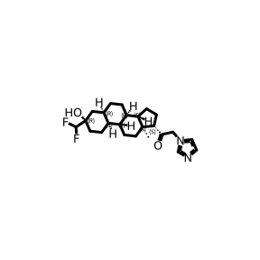 C[C@]12CC[C@H]3[C@@H](CC[C@@H]4C[C@@](O)(C(F)F)CC[C@@H]43)[C@@H]1CC[C@@H]2C(=O)Cn1ccnc1